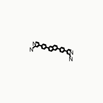 N#Cc1cc(-c2ccc(-c3ccc4cc(-c5ccc(-c6ccnc(C#N)c6)cc5)ccc4c3)cc2)ccn1